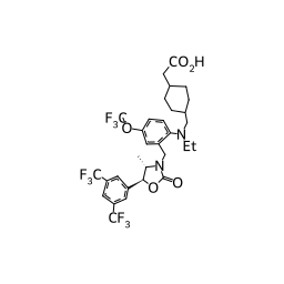 CCN(CC1CCC(CC(=O)O)CC1)c1ccc(OC(F)(F)F)cc1CN1C(=O)O[C@@H](c2cc(C(F)(F)F)cc(C(F)(F)F)c2)[C@@H]1C